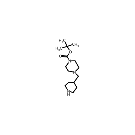 CC(C)(C)OC(=O)N1CCN(CC2CCNCC2)CC1